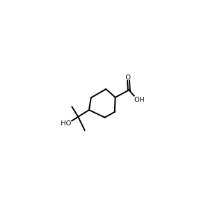 CC(C)(O)C1CCC(C(=O)O)CC1